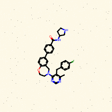 Cc1ncnc(N2CCOc3ccc(-c4ccc(C(=O)NC5CCNC5)cc4)cc3C2)c1Cc1ccc(F)cc1